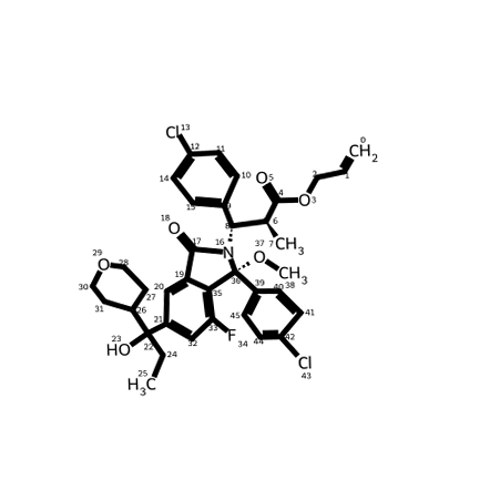 C=CCOC(=O)[C@@H](C)[C@@H](c1ccc(Cl)cc1)N1C(=O)c2cc(C(O)(CC)C3CCOCC3)cc(F)c2[C@]1(OC)c1ccc(Cl)cc1